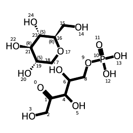 O=C(CO)C(O)C(O)COP(=O)(O)O.OC[C@H]1O[CH][C@H](O)[C@@H](O)[C@@H]1O